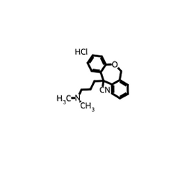 CN(C)CCCC1(C#N)c2ccccc2COc2ccccc21.Cl